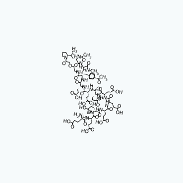 CNC(=O)CNC(=O)[C@H](CC(C)[C@@H]1CCCN1C(=O)COCCNC(=O)[C@H](Cc1ccc(C(C)=O)cc1)NC(=O)[C@@H](CCC(=O)O)NC(=O)[C@@H](CCC(=O)O)NC(=O)[C@@H](CCC(=O)O)NC(=O)[C@@H](CCC(=O)O)NC(=O)[C@@H](CCC(=O)O)NC(=O)[C@@H](CCC(=O)O)NC(=O)[C@@H](CCC(=O)O)NC(=O)[C@@H](CCC(=O)O)NC(=O)[C@H](N)CCC(=O)O)NC(C)=O